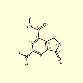 COC(=O)c1nc(N(C)C)cc2c1CNC2=O